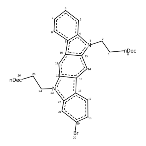 CCCCCCCCCCCCn1c2ccccc2c2cc3c(cc21)c1ccc(Br)cc1n3CCCCCCCCCCCC